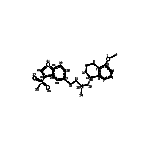 COc1cccc2c1CCC[C@H]2CN(C)CCc1ccc2occ(S(C)(=O)=O)c2c1